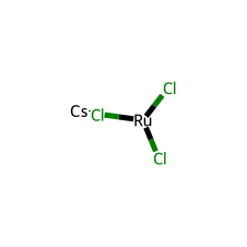 [Cl][Ru]([Cl])[Cl].[Cs]